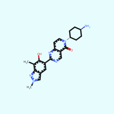 Cc1c(O)c(-c2ncc3c(=O)n([C@H]4CC[C@H](N)CC4)ccc3n2)cc2cn(C)nc12